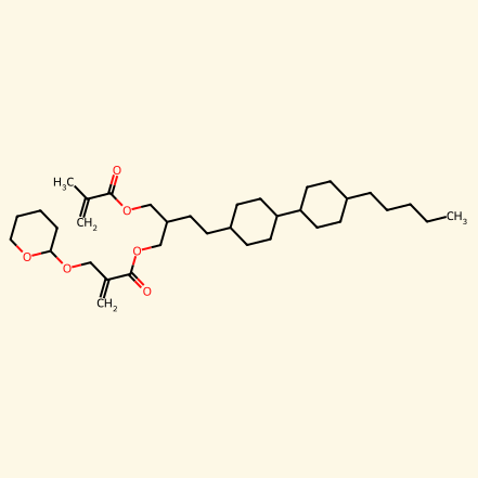 C=C(C)C(=O)OCC(CCC1CCC(C2CCC(CCCCC)CC2)CC1)COC(=O)C(=C)COC1CCCCO1